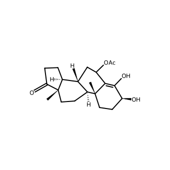 CC(=O)OC1C[C@@H]2[C@H](CC[C@]3(C)C(=O)CC[C@@H]23)[C@@]2(C)CC[C@H](O)C(O)=C12